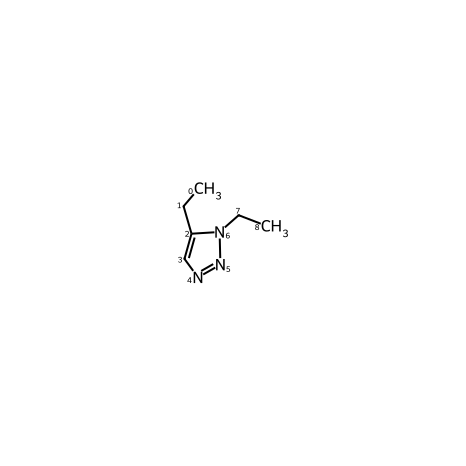 CCc1cnnn1CC